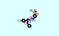 CCS(=O)(=O)c1ccc(CC(=O)Nc2ccc(-c3ccc(Cl)cc3)c(C(=O)c3ccc(F)cc3)n2)cc1